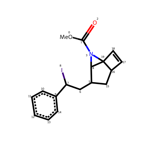 COC(=O)N1C2C(CC(I)c3ccccc3)CC3C=CC321